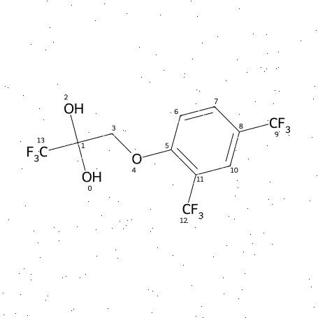 OC(O)(COc1ccc(C(F)(F)F)cc1C(F)(F)F)C(F)(F)F